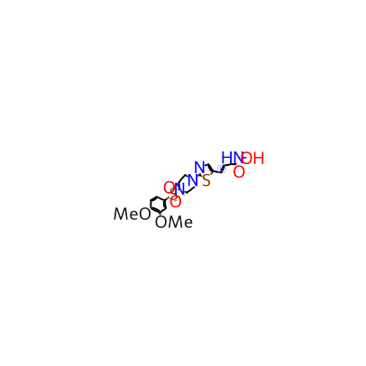 COc1ccc(S(=O)(=O)N2CCN(c3ncc(/C=C/C(=O)NO)s3)CC2)cc1OC